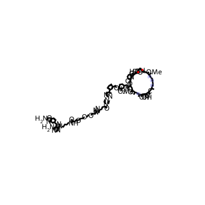 COC1C[C@@H]2CC[C@@H](C)[C@@](O)(O2)C(=O)C(=O)N2CCCCC2C(=O)OC(C(N)CC2CCC(OCc3cccc(-c4cnc(N5CCN(C(=O)CCc6cn(CCOCCOCCOCCC(=O)NCCCCn7nc(-c8ccc9oc(N)nc9c8)c8c(N)ncnc87)nn6)CC5)nc4)c3)[C@H](OC)C2)CC(=O)C(C)/C=C(\C)C(O)[C@@H](O)C(=O)C(C)CC(C)/C=C/C=C/C=C/1C